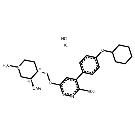 CCCCc1nnc(OC[C@H]2CCN(C)C[C@@H]2OC)cc1-c1ccc(OC2CCCCC2)cc1.Cl.Cl